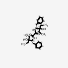 CCC(O)(CC)[C@@H](Cc1ccccc1)NC(=O)C(=O)N[C@H](Cc1ccccc1)C(O)(CC)CC